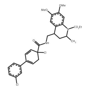 CCOC(=O)N1c2cc(OC)c(OC)cc2C(CNC(=O)C2(Cl)C=CC(c3cccc(Cl)c3)=CC2)CC1C